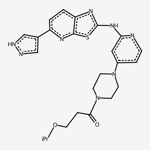 CC(C)OCCC(=O)N1CCN(c2ccnc(Nc3nc4ccc(-c5cn[nH]c5)nc4s3)c2)CC1